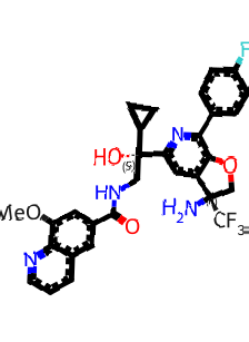 COc1cc(C(=O)NC[C@](O)(c2cc3c(c(-c4ccc(F)cc4)n2)OC[C@@]3(N)C(F)(F)F)C2CC2)cc2cccnc12